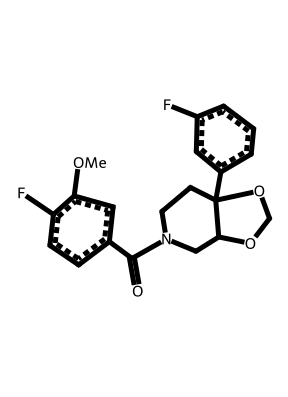 COc1cc(C(=O)N2CCC3(c4cccc(F)c4)OCOC3C2)ccc1F